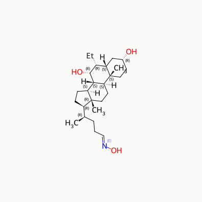 CC[C@H]1[C@@H](O)[C@@H]2[C@H](CC[C@]3(C)[C@@H]([C@H](C)CC/C=N/O)CC[C@@H]23)[C@@]2(C)CC[C@@H](O)C[C@@H]12